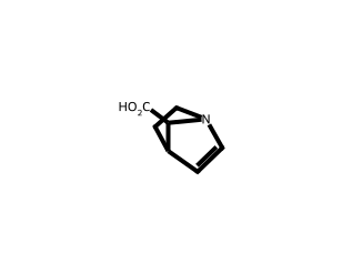 O=C(O)C1C2C=CN1CC2